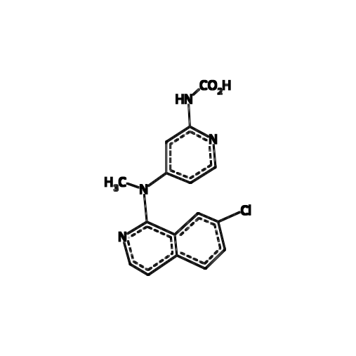 CN(c1ccnc(NC(=O)O)c1)c1nccc2ccc(Cl)cc12